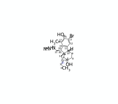 C/C=C1/C[C@]23C[C@@]1(O)CC[C@H]2c1cc(Br)c(O)c(C)c1[C@@H]3CN=[N+]=[N-]